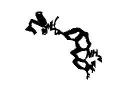 NC1CCc2ccc(OCCNS(=O)(=O)CC3CC3)cc2C1Cc1ccc(F)c(F)c1